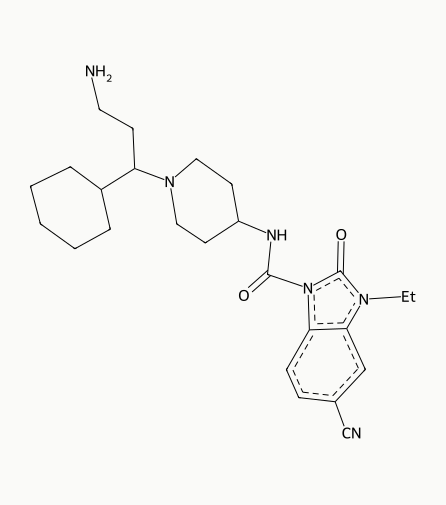 CCn1c(=O)n(C(=O)NC2CCN(C(CCN)C3CCCCC3)CC2)c2ccc(C#N)cc21